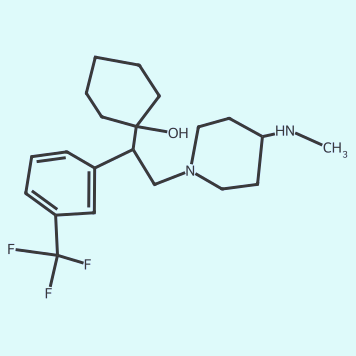 CNC1CCN(CC(c2cccc(C(F)(F)F)c2)C2(O)CCCCC2)CC1